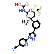 C[C@@]1(c2cc(-c3cnn(-c4ccc(C#N)cn4)c3)ccc2F)C[C@@H](C(F)(F)F)OC(NC(=O)O)=N1